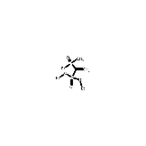 C=C(P(C)(=O)CC)P(=O)(OCC)OCC